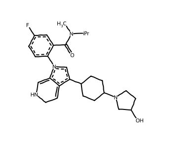 CC(C)N(C)C(=O)c1cc(F)ccc1-n1cc(C2CCC(N3CCC(O)C3)CC2)c2c1=CNCC=2